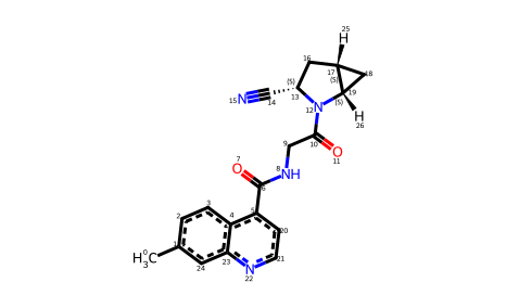 Cc1ccc2c(C(=O)NCC(=O)N3[C@H](C#N)C[C@@H]4C[C@@H]43)ccnc2c1